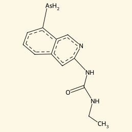 CCNC(=O)Nc1cc2cccc([AsH2])c2cn1